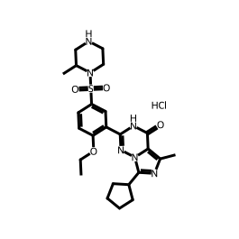 CCOc1ccc(S(=O)(=O)N2CCNCC2C)cc1-c1nn2c(C3CCCC3)nc(C)c2c(=O)[nH]1.Cl